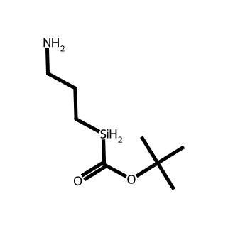 CC(C)(C)OC(=O)[SiH2]CCCN